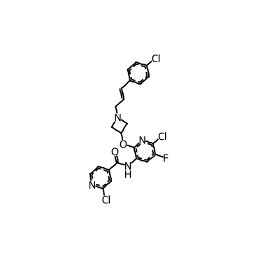 O=C(Nc1cc(F)c(Cl)nc1OC1CN(CC=Cc2ccc(Cl)cc2)C1)c1ccnc(Cl)c1